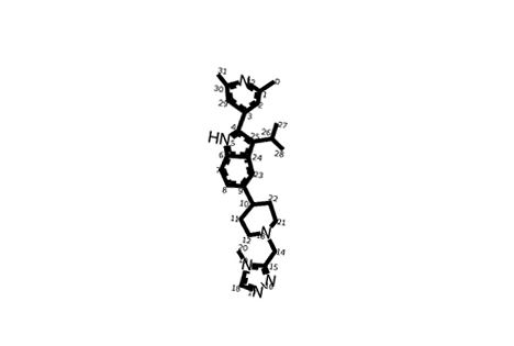 Cc1cc(-c2[nH]c3ccc(C4CCN(Cc5nncn5C)CC4)cc3c2C(C)C)cc(C)n1